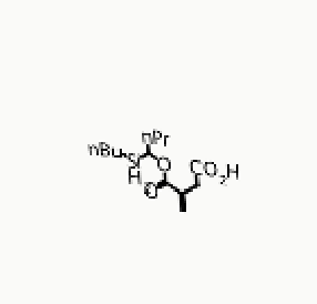 C=C(CC(=O)O)C(=O)OC(CCC)[SiH2]CCCC